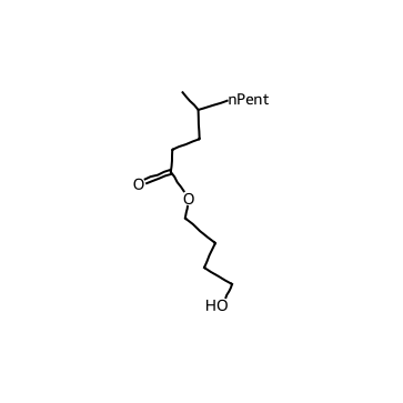 CCCCCC(C)CCC(=O)OCCCCO